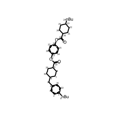 CCCCc1ccc(CC2CCC(C(=O)Oc3ccc(OC(=O)C4CCC(CCCC)CC4)cc3)CC2)cc1